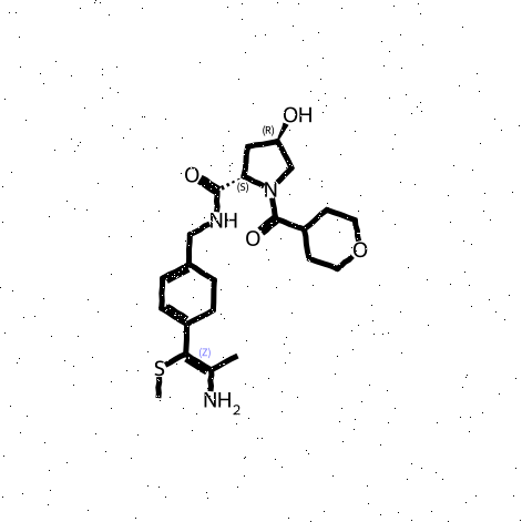 CS/C(C1=CC=C(CNC(=O)[C@@H]2C[C@@H](O)CN2C(=O)C2CCOCC2)CC1)=C(/C)N